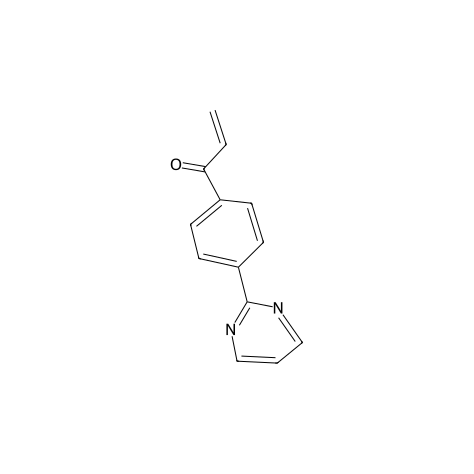 C=CC(=O)c1ccc(-c2ncccn2)cc1